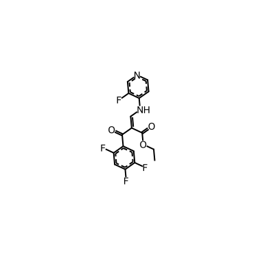 CCOC(=O)C(=CNc1ccncc1F)C(=O)c1cc(F)c(F)cc1F